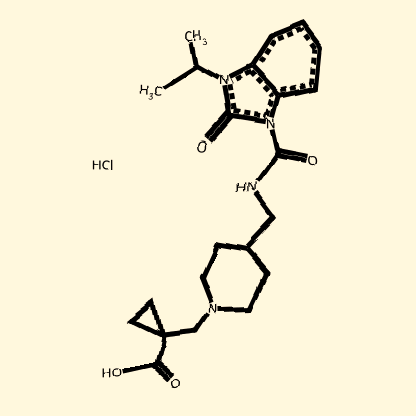 CC(C)n1c(=O)n(C(=O)NCC2CCN(CC3(C(=O)O)CC3)CC2)c2ccccc21.Cl